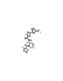 Cc1oncc1C(=O)N1CCOC[C@@H]1CNC(=O)c1ccc(-c2noc(C(F)(F)F)n2)s1